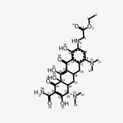 CCOC(=O)CNc1cc(N(C)C)c2c(c1O)C(=O)C1=C(O)C3(O)C(=O)C(C(N)=O)=C(O)[C@@H](N(C)C)C3CC1C2